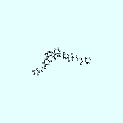 CC(C)C(N)C(=O)OCCN1CCN(NC(=O)Nc2cccc3c2C(=O)c2c-3n[nH]c2-c2ccc(OCCN3CCCC3)cc2)CC1